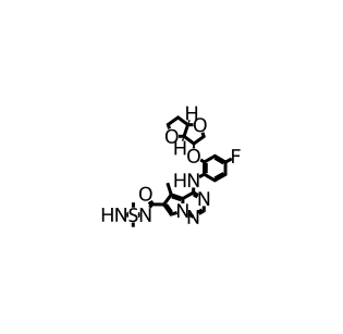 Cc1c(C(=O)N=S(C)(C)=N)cn2ncnc(Nc3ccc(F)cc3O[C@@H]3CO[C@@H]4CCO[C@@H]43)c12